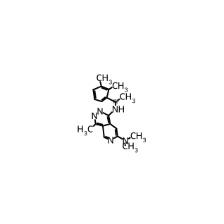 Cc1cccc([C@@H](C)Nc2nnc(C)c3cnc(N(C)C)cc23)c1C